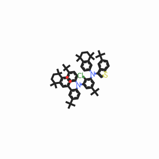 CC(C)(C)c1ccc(N(c2ccc(C(C)(C)C)cc2-c2ccc3c(c2)C(C)(C)CCC3(C)C)c2cc(C(C)(C)C)cc(N(c3ccc4c(c3)C(C)(C)CCC4(C)C)c3csc4ccc(C(C)(C)C)cc34)c2Cl)cc1